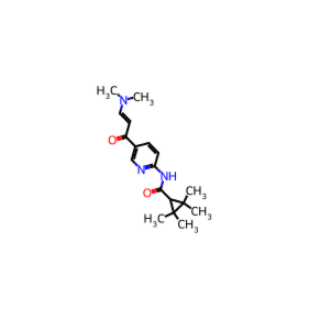 CN(C)/C=C/C(=O)c1ccc(NC(=O)C2C(C)(C)C2(C)C)nc1